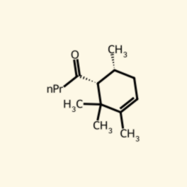 CCCC(=O)[C@@H]1[C@H](C)CC=C(C)C1(C)C